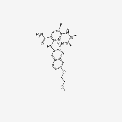 COCCOc1ccc2cc(Nc3nc(N[C@@H](C)[C@@H](C)N)c(F)cc3C(N)=O)cnc2c1